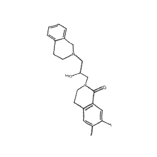 Cc1cc2c(cc1I)C(=O)N(CC(O)CN1CCc3ccccc3C1)CC2